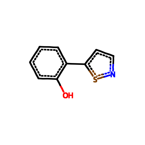 Oc1ccccc1-c1ccns1